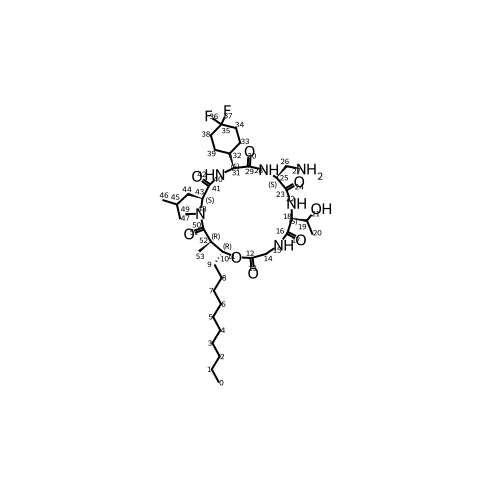 CCCCCCCCCC[C@H]1OC(=O)CNC(=O)[C@H](C(C)O)NC(=O)[C@H](CN)NC(=O)[C@H](C2CCC(F)(F)CC2)NC(=O)[C@H](CC(C)C)N(C)C(=O)[C@@H]1C